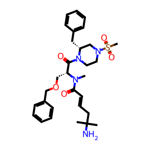 CN(C(=O)C=CCC(C)(C)N)[C@H](COCc1ccccc1)C(=O)N1CCN(S(C)(=O)=O)C[C@H]1Cc1ccccc1